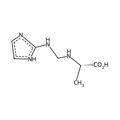 C[C@H](NCNc1ncc[nH]1)C(=O)O